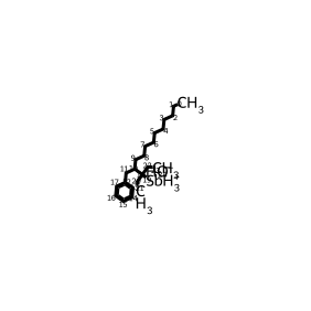 CCCCCCCCCCC(Cc1ccccc1)[C]([SbH3+])(CC)CC.[OH-]